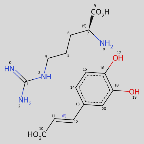 N=C(N)NCCC[C@H](N)C(=O)O.O=C(O)/C=C/c1ccc(O)c(O)c1